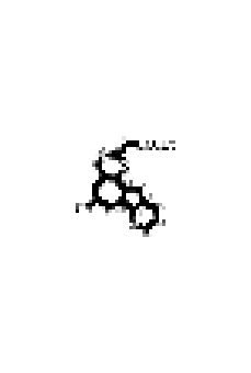 CCOC(=O)CC1=NCC2=CC(Cl)=CC3=C4SC=CC=C4CC3=C2S1